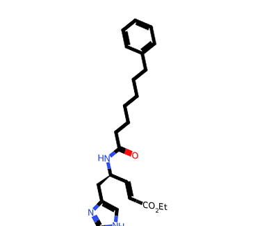 CCOC(=O)/C=C/[C@@H](Cc1c[nH]cn1)NC(=O)CCCCCCc1ccccc1